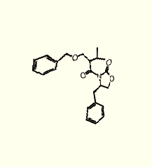 CC(C)C(COCc1ccccc1)C(=O)N1C(=O)OCC1Cc1ccccc1